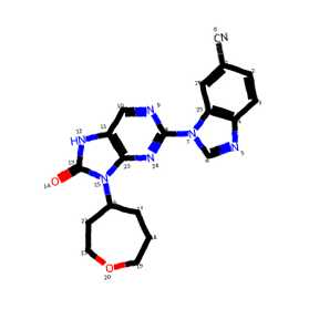 N#Cc1ccc2ncn(-c3ncc4[nH]c(=O)n(C5CCCOCC5)c4n3)c2c1